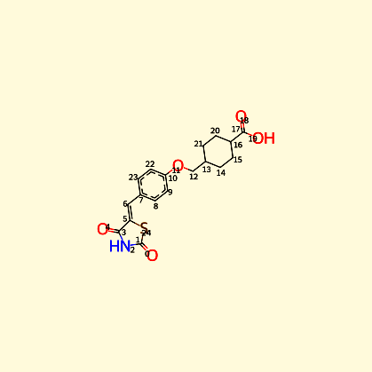 O=C1NC(=O)/C(=C/c2ccc(OCC3CCC(C(=O)O)CC3)cc2)S1